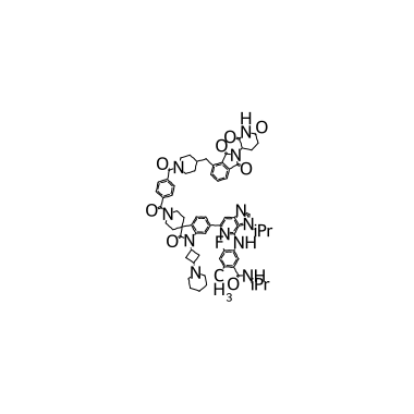 Cc1cc(F)c(Nc2nc(-c3ccc4c(c3)N([C@H]3C[C@@H](N5CCCCC5)C3)C(=O)C43CCN(C(=O)c4ccc(C(=O)N5CCC(Cc6cccc7c6C(=O)N(C6CCC(=O)NC6=O)C7=O)CC5)cc4)CC3)cc3ncn(C(C)C)c23)cc1C(=O)NC(C)C